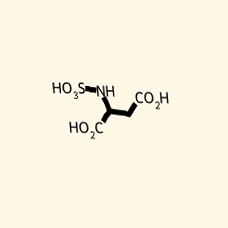 O=C(O)CC(NS(=O)(=O)O)C(=O)O